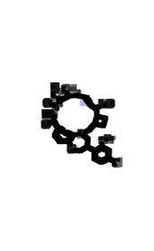 CCCc1cc(Cl)ccc1C1COc2ccc3cc2N(C1)CC1CCC1C(N=O)/C=C/CC(C)C(C)[S+]([O-])NC3=O